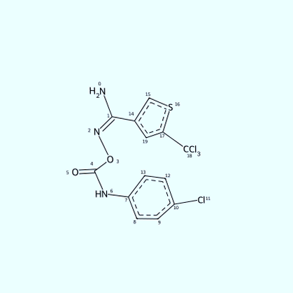 N/C(=N/OC(=O)Nc1ccc(Cl)cc1)c1csc(C(Cl)(Cl)Cl)c1